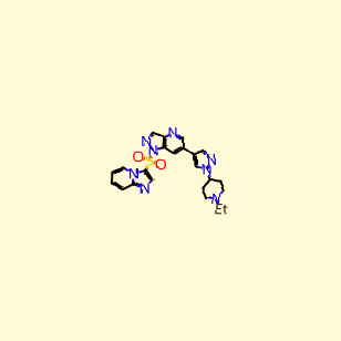 CCN1CCC(n2cc(-c3cnc4cnn(S(=O)(=O)c5cnc6ccccn56)c4c3)cn2)CC1